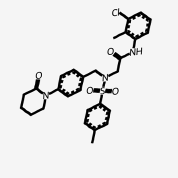 Cc1ccc(S(=O)(=O)N(CC(=O)Nc2cccc(Cl)c2C)Cc2ccc(N3CCCCC3=O)cc2)cc1